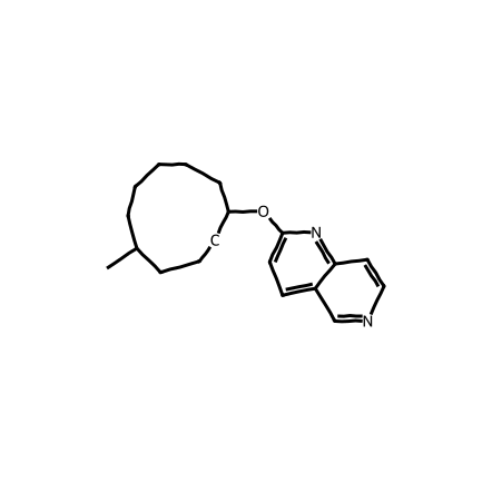 CC1CCCCCC(Oc2ccc3cnccc3n2)CCC1